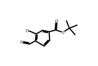 CC(C)(C)OC(=O)c1ccc(C=O)c(Cl)c1